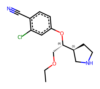 CCOC[C@H](Oc1ccc(C#N)c(Cl)c1)[C@H]1CCNC1